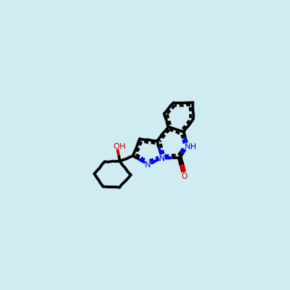 O=c1[nH]c2ccccc2c2cc(C3(O)CCCCC3)nn12